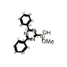 COB(O)c1nc(-c2ccccc2)nc(-c2ccccc2)n1